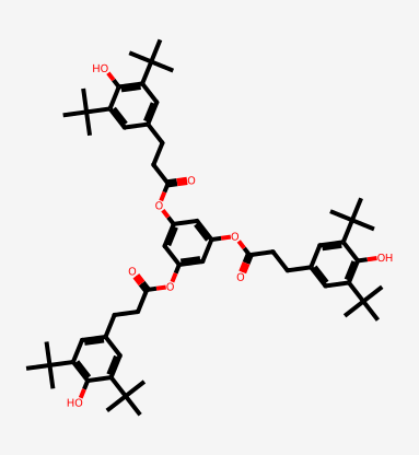 CC(C)(C)c1cc(CCC(=O)Oc2cc(OC(=O)CCc3cc(C(C)(C)C)c(O)c(C(C)(C)C)c3)cc(OC(=O)CCc3cc(C(C)(C)C)c(O)c(C(C)(C)C)c3)c2)cc(C(C)(C)C)c1O